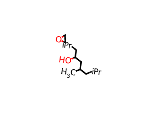 C1CO1.CC(C)CC(C)CC(O)CC(C)C